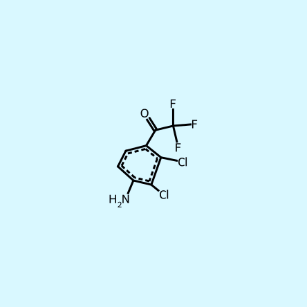 Nc1ccc(C(=O)C(F)(F)F)c(Cl)c1Cl